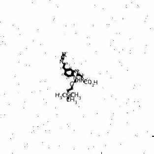 C[Si](C)(C)CCOCn1c(CNC(=O)O)nc2cc(CCN=[N+]=[N-])ccc21